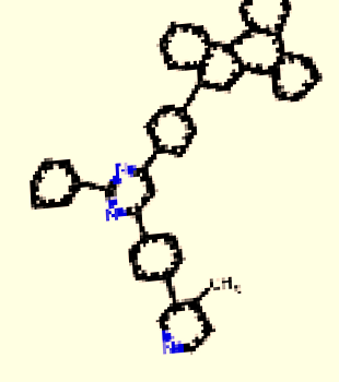 Cc1ccncc1-c1ccc(-c2cc(-c3ccc(-c4cc5c6ccccc6c6ccccc6c5c5ccccc45)cc3)nc(-c3ccccc3)n2)cc1